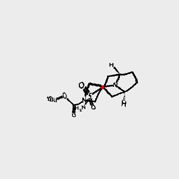 CC(C)(C)OC(=O)N1CC(N2[C@H]3CC[C@H]2CC(S(N)(=O)=O)C3)C1